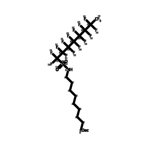 CCCCCCCCCCCCCCCCCCNS(=O)(=O)C(F)(F)C(F)(F)C(F)(F)C(F)(F)C(F)(F)C(F)(F)C(F)(F)C(F)(F)F